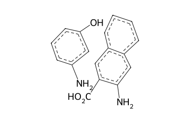 Nc1cc2ccccc2cc1C(=O)O.Nc1cccc(O)c1